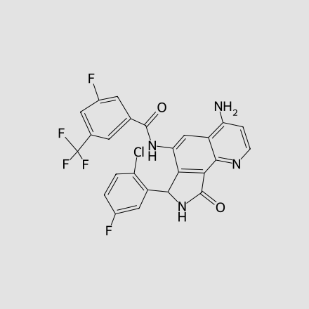 Nc1ccnc2c3c(c(NC(=O)c4cc(F)cc(C(F)(F)F)c4)cc12)C(c1cc(F)ccc1Cl)NC3=O